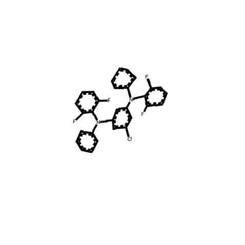 Fc1cccc(F)c1N(c1ccccc1)c1cc(Cl)cc(N(c2ccccc2)c2c(F)cccc2F)c1